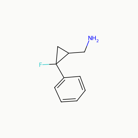 NCC1CC1(F)c1ccccc1